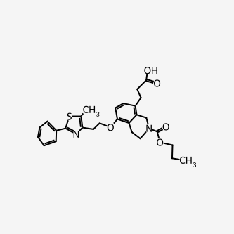 CCCOC(=O)N1CCc2c(OCCc3nc(-c4ccccc4)sc3C)ccc(CCC(=O)O)c2C1